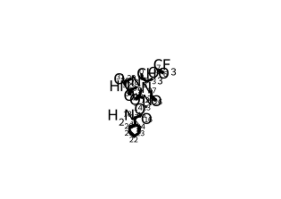 CC(C(COC(=O)C(F)(F)F)N1CC(=O)N(COC(=O)C(N)c2ccccc2)C(=O)C1)N1CC(=O)NC(=O)C1